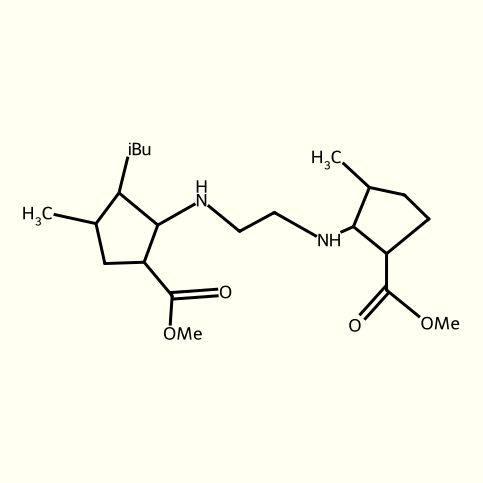 CCC(C)C1C(C)CC(C(=O)OC)C1NCCNC1C(C)CCC1C(=O)OC